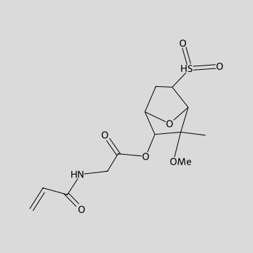 C=CC(=O)NCC(=O)OC1C2CC([SH](=O)=O)C(O2)C1(C)OC